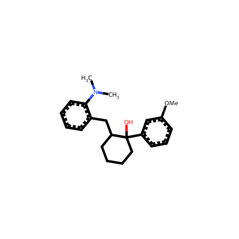 COc1cccc(C2(O)CCCCC2Cc2ccccc2N(C)C)c1